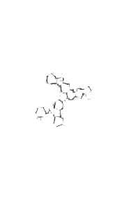 c1ccc(-n2c3ccccc3c3cc(-c4cc5cc6occc6cc5c5cc6sc7ccccc7c6cc45)ccc32)cc1